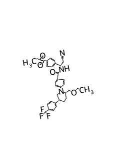 CCOC[C@H]1CC[C@@H](c2ccc(C(F)(F)F)cc2)CN1c1ccc(C(=O)N[C@H](CC#N)c2ccc(S(=O)(=O)CC)cc2)cc1